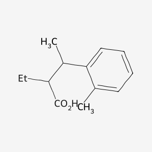 CCC(C(=O)O)C(C)c1ccccc1C